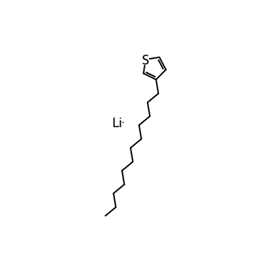 CCCCCCCCCCCCc1ccsc1.[Li]